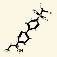 O=S(=O)(c1ccc(-c2ccc(C(O)CCl)cc2)cc1)C(F)F